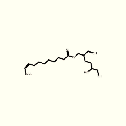 CCCCCCCC/C=C\CCCCCCCC(=O)OCC(CO)OCC(O)CO